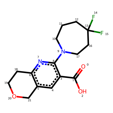 O=C(O)c1cc2c(nc1N1CCCC(F)(F)CC1)CCOC2